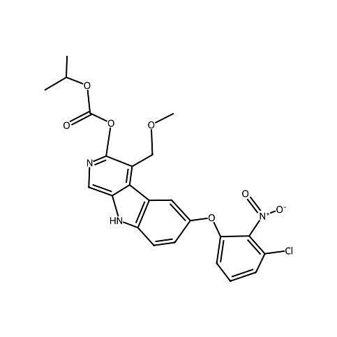 COCc1c(OC(=O)OC(C)C)ncc2[nH]c3ccc(Oc4cccc(Cl)c4[N+](=O)[O-])cc3c12